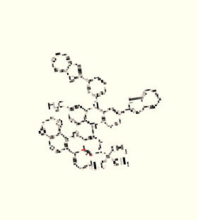 Cc1cc2c3c(c1)N(c1c(-c4ccccc4)ccc4c1OCCO4)c1ccc(C(C)(C)C)cc1B3c1ccc(-c3cc4ccccc4s3)cc1N2c1cccc(-c2cc3ccccc3s2)c1